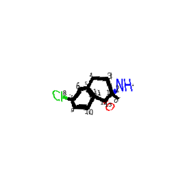 CC1([NH])CCc2cc(Cl)ccc2C1=O